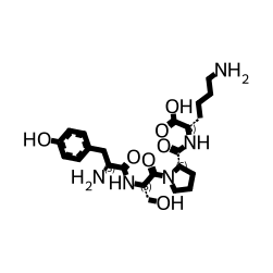 NCCCC[C@H](NC(=O)[C@@H]1CCCN1C(=O)[C@H](CO)NC(=O)[C@@H](N)Cc1ccc(O)cc1)C(=O)O